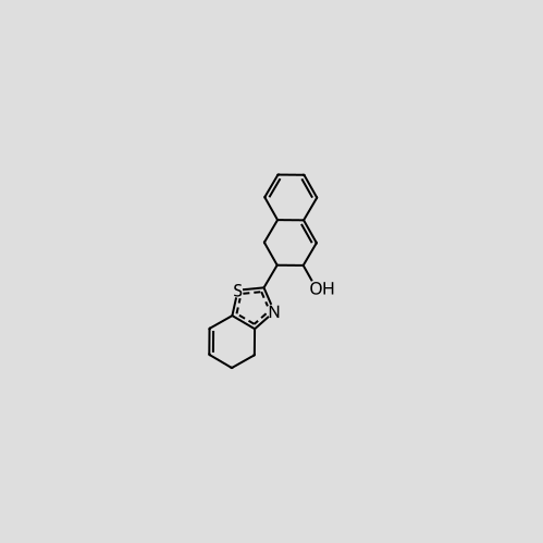 OC1C=C2C=CC=CC2CC1c1nc2c(s1)C=CCC2